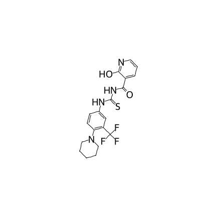 O=C(NC(=S)Nc1ccc(N2CCCCC2)c(C(F)(F)F)c1)c1cccnc1O